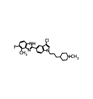 Cc1c(F)ccc2[nH]c(-c3ccc4c(c3)c(Cl)cn4CCCC3CCN(C)CC3)nc12